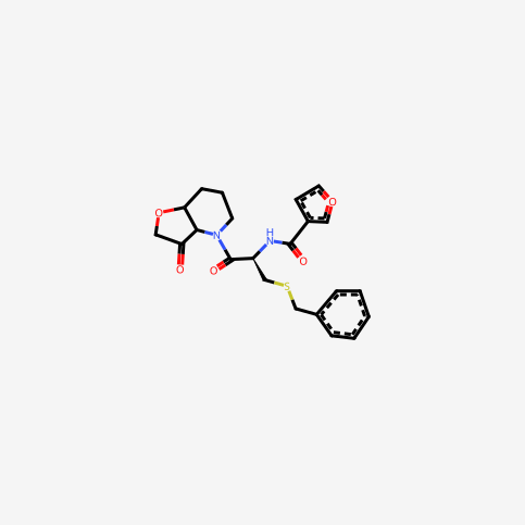 O=C(N[C@@H](CSCc1ccccc1)C(=O)N1CCCC2OCC(=O)C21)c1ccoc1